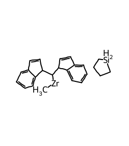 C1CC[SiH2]C1.[CH3][Zr][CH](C1C=Cc2ccccc21)C1C=Cc2ccccc21